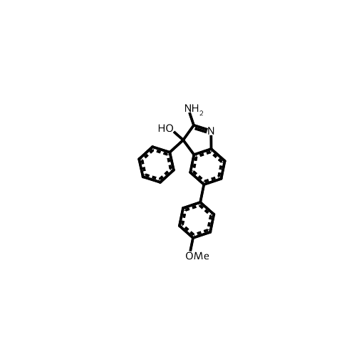 COc1ccc(-c2ccc3c(c2)C(O)(c2ccccc2)C(N)=N3)cc1